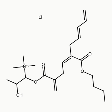 C=CC=CCC(=CCC(=C)C(=O)OC(C(C)O)[N+](C)(C)C)C(=O)OCCCC.[Cl-]